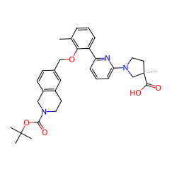 Cc1cccc(-c2cccc(N3CC[C@@](C)(C(=O)O)C3)n2)c1OCc1ccc2c(c1)CCN(C(=O)OC(C)(C)C)C2